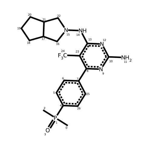 CP(C)(=O)c1ccc(-c2nc(N)nc(NN3CC4CCCC4C3)c2C(F)(F)F)cc1